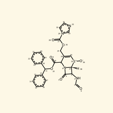 O=CNC1C(=O)N2C(C(=O)OC(c3ccccc3)c3ccccc3)C(COC(=O)n3ccnc3)=C[S+]([O-])[C@H]12